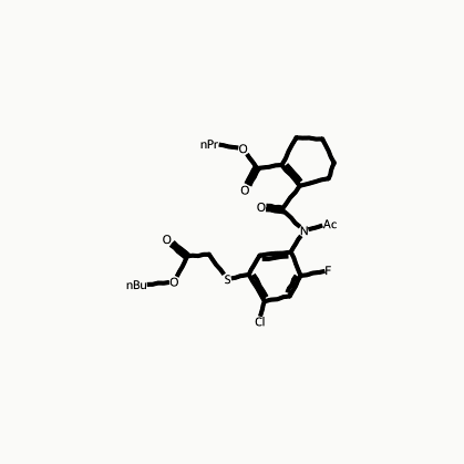 CCCCOC(=O)CSc1cc(N(C(C)=O)C(=O)C2=C(C(=O)OCCC)CCCC2)c(F)cc1Cl